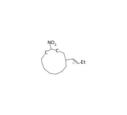 CC/C=C/C1CCCCCCCCC([N+](=O)[O-])CC1